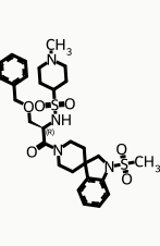 CN1CCC(S(=O)(=O)N[C@H](COCc2ccccc2)C(=O)N2CCC3(CC2)CN(S(C)(=O)=O)c2ccccc23)CC1